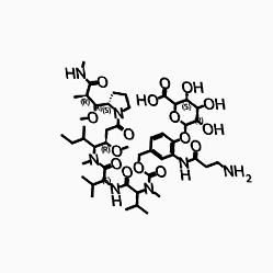 CCC(C)C([C@@H](CC(=O)N1CCC[C@H]1[C@H](OC)[C@@H](C)C(=O)NC)OC)N(C)C(=O)[C@@H](NC(=O)C(C(C)C)N(C)C(=O)OCc1ccc(OC2OC(C(=O)O)[C@@H](O)C(O)[C@H]2O)c(NC(=O)CCN)c1)C(C)C